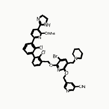 COc1nc(-c2cccc(-c3cccc(COc4nc(OCc5cncc(C#N)c5)c(CN5CCCCC5)cc4Br)c3Cl)c2Cl)ccc1C1=NCCN1